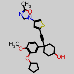 COc1ccc(C2(C#Cc3cc(N4CN=C(C)O4)cs3)CCC(O)CC2)cc1OC1CCCC1